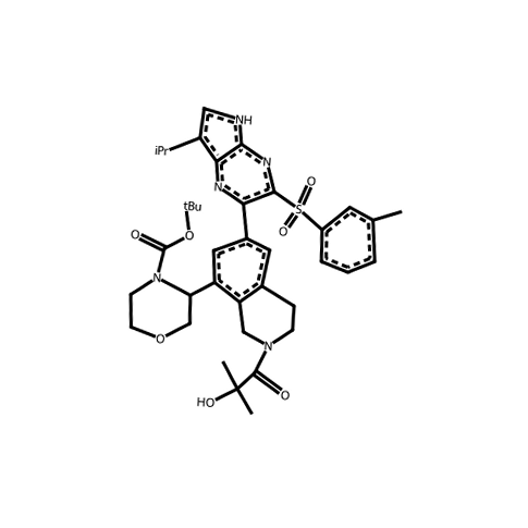 Cc1cccc(S(=O)(=O)c2nc3[nH]cc(C(C)C)c3nc2-c2cc3c(c(C4COCCN4C(=O)OC(C)(C)C)c2)CN(C(=O)C(C)(C)O)CC3)c1